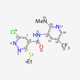 CCSc1nnc(Cl)cc1C(=O)Nc1cc(C(F)(F)F)cnc1NC